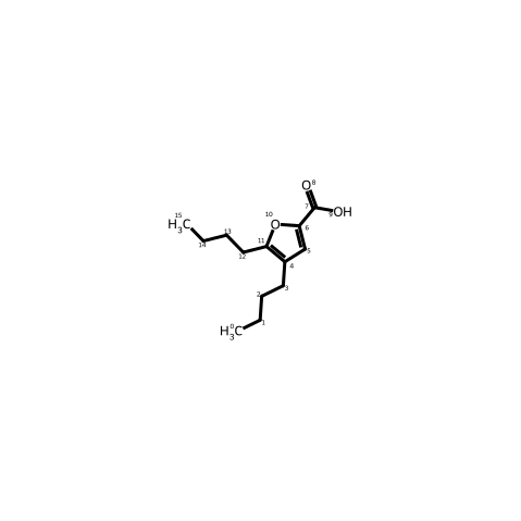 CCCCc1cc(C(=O)O)oc1CCCC